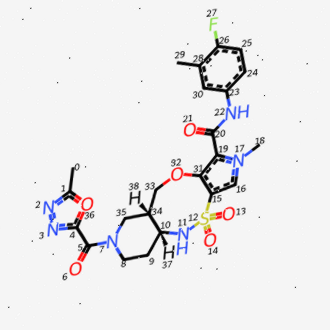 Cc1nnc(C(=O)N2CC[C@H]3NS(=O)(=O)c4cn(C)c(C(=O)Nc5ccc(F)c(C)c5)c4OC[C@H]3C2)o1